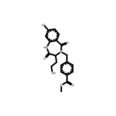 COC(=O)c1ccc(CN2C(=O)c3ccc(Cl)cc3NC(=O)C2CCO)cc1